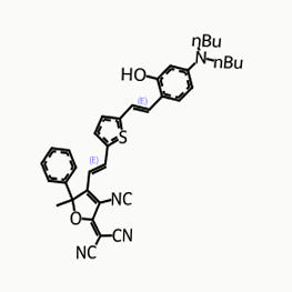 [C-]#[N+]C1=C(/C=C/c2ccc(/C=C/c3ccc(N(CCCC)CCCC)cc3O)s2)C(C)(c2ccccc2)OC1=C(C#N)C#N